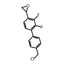 Fc1c(-c2ccc(CCl)cc2)ccc(C2CO2)c1F